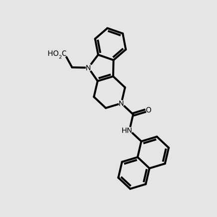 O=C(O)Cn1c2c(c3ccccc31)CN(C(=O)Nc1cccc3ccccc13)CC2